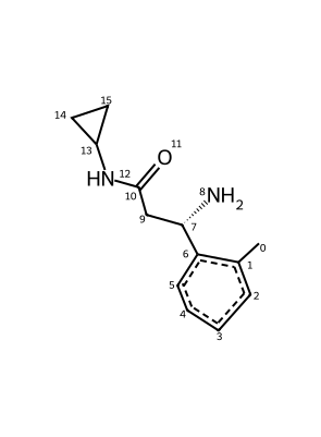 Cc1ccccc1[C@@H](N)CC(=O)NC1CC1